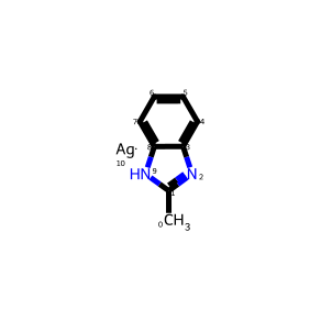 Cc1nc2ccccc2[nH]1.[Ag]